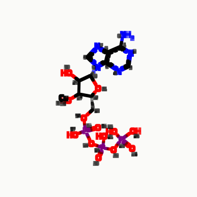 Nc1ncnc2c1ncn2[C@@H]1O[C@H](COP(=O)(O)OP(=O)(O)OP(=O)(O)O)C(O)C1O.[Cu]